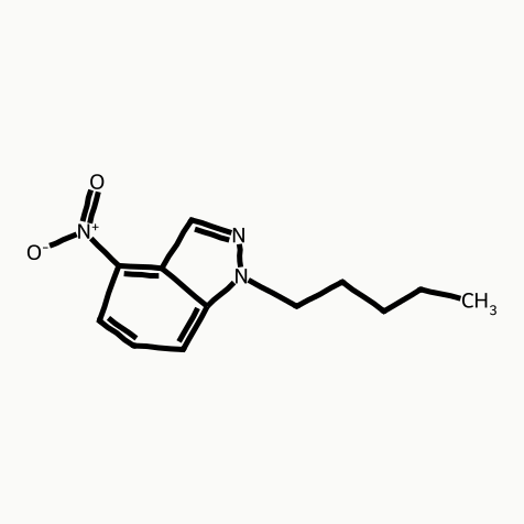 CCCCCn1ncc2c([N+](=O)[O-])cccc21